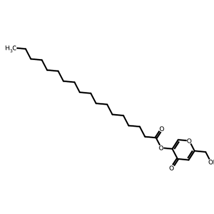 CCCCCCCCCCCCCCCCCC(=O)Oc1coc(CO)cc1=O